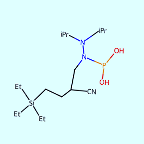 CC[Si](CC)(CC)CCC(C#N)CN(N(C(C)C)C(C)C)P(O)O